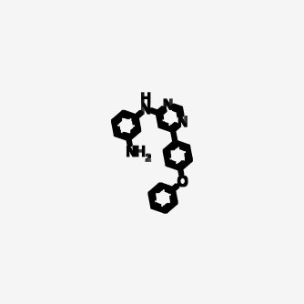 Nc1cccc(Nc2cc(-c3ccc(Oc4ccccc4)cc3)ncn2)c1